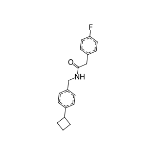 O=C(Cc1ccc(F)cc1)NCc1ccc(C2CCC2)cc1